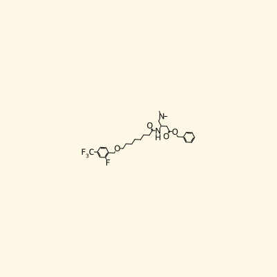 CN(C)CC(CC(=O)OCc1ccccc1)NC(=O)CCCCCCCOCc1ccc(C(F)(F)F)cc1F